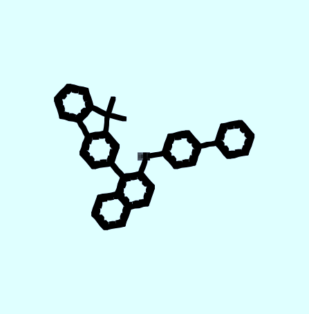 CC1(C)c2ccccc2-c2ccc(-c3c(Nc4ccc(-c5ccccc5)cc4)ccc4ccccc34)cc21